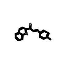 Cc1ccc(C=CC(=O)c2ccc3ccccc3n2)cc1